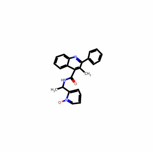 Cc1c(-c2ccccc2)nc2ccccc2c1C(=O)NC(C)c1cccc[n+]1[O-]